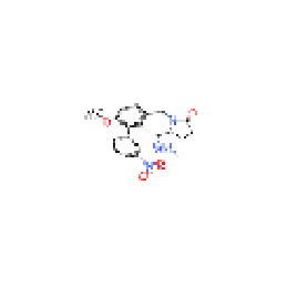 COc1ccc(CN2C(=O)CC[C@H]2CN)cc1-c1cccc([N+](=O)[O-])c1